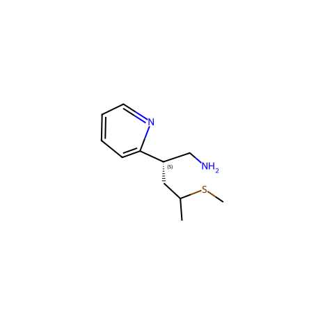 CSC(C)C[C@@H](CN)c1ccccn1